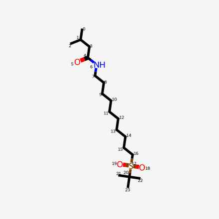 CC(C)CC(=O)NCCCCCCCCCCS(=O)(=O)C(C)(C)C